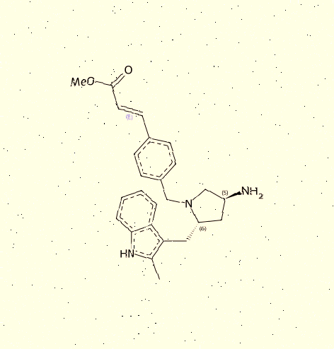 COC(=O)/C=C/c1ccc(CN2C[C@@H](N)C[C@@H]2Cc2c(C)[nH]c3ccccc23)cc1